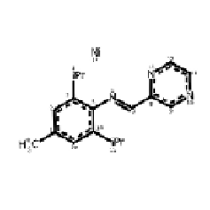 Cc1cc(C(C)C)c(N=Cc2cnccn2)c(C(C)C)c1.[Ni]